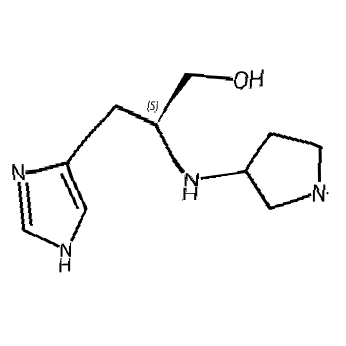 OC[C@H](Cc1c[nH]cn1)NC1CC[N]C1